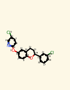 Clc1ccc(Oc2ccc3c(c2)CCC(c2cccc(Cl)c2)O3)nc1